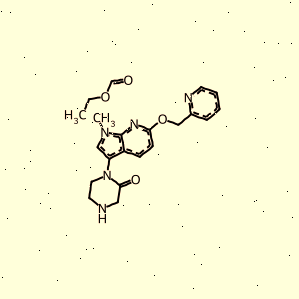 CCOC=O.Cn1cc(N2CCNCC2=O)c2ccc(OCc3ccccn3)nc21